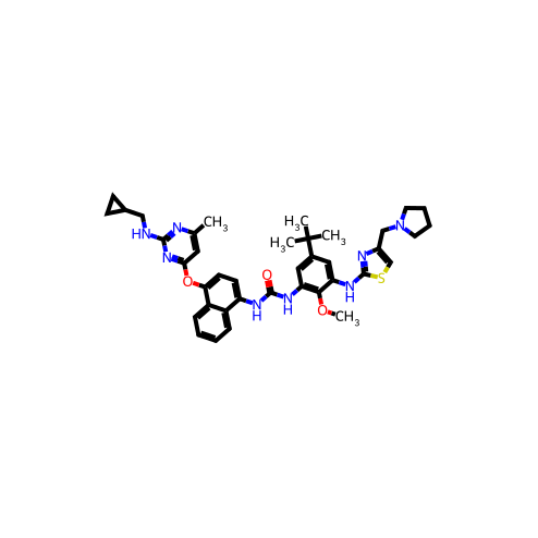 COc1c(NC(=O)Nc2ccc(Oc3cc(C)nc(NCC4CC4)n3)c3ccccc23)cc(C(C)(C)C)cc1Nc1nc(CN2CCCC2)cs1